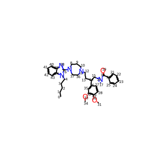 CCCCCn1c(N2CCCN(CCC(CN(C)C(=O)c3ccccc3)c3ccc(OC)c(OC)c3)CC2)nc2ccccc21